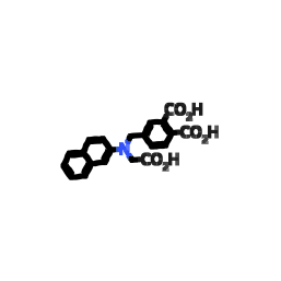 O=C(O)CN(Cc1ccc(C(=O)O)c(C(=O)O)c1)c1ccc2ccccc2c1